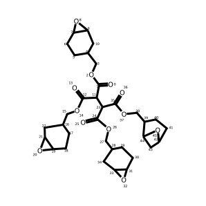 O=C(OCC1CCC2OC2C1)C(C(=O)OCC1CCC2OC2C1)C(C(=O)OCC1CCC2OC2C1)C(=O)OCC1CCC2CC1O2